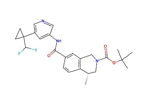 C[C@H]1CN(C(=O)OC(C)(C)C)Cc2cc(C(=O)Nc3cncc(C4(C(F)F)CC4)c3)ccc21